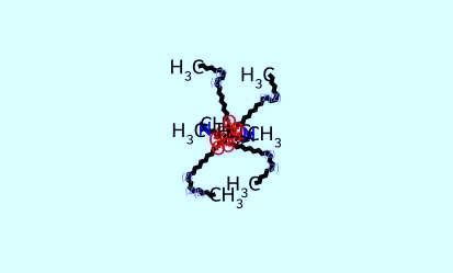 CCC/C=C/C=C\C/C=C\CCCCCCCCOCC(OCCCCCCCC/C=C\C/C=C\CCCCC)C(OC(=O)CCN(C)C)C(OC(=O)CCN(C)C)C(COCCCCCCCC/C=C\C/C=C\CCCCC)OCCCCCCCC/C=C\C/C=C\CCCCC